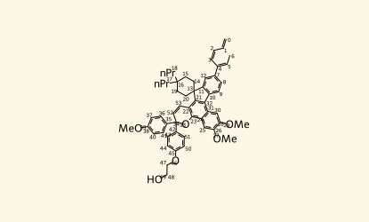 C=C/C=C\C(=C/C)c1ccc2c(c1)C1(CCC(CCC)(CCC)CC1)c1c3c(c4cc(OC)c(OC)cc4c1-2)OC(c1ccc(OC)cc1)(c1ccc(OCCO)cc1)C=C3